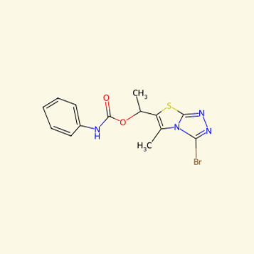 Cc1c(C(C)OC(=O)Nc2ccccc2)sc2nnc(Br)n12